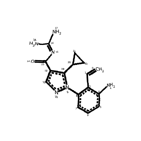 C=Cc1c(N)cccc1-n1ncc(C(=O)N=C(N)N)c1C1CC1